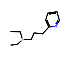 CCB(CC)CCCc1ccccn1